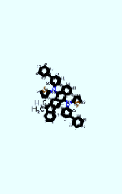 CC1(C)c2ccccc2-c2cc3c(N(c4cccc(-c5ccccc5)c4)c4cccs4)c4ccccc4c(N(c4cccc(-c5ccccc5)c4)c4cccs4)c3cc21